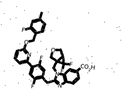 Cc1ccc(COc2cccc(-c3cc(F)c(Cc4nc5ccc(C(=O)O)cc5n4CC45COCC4C5(F)F)cc3F)n2)c(F)c1